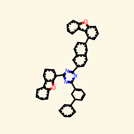 C1=CC(c2ccccc2)CC(c2nc(-c3ccc4cc(-c5cccc6oc7ccccc7c56)ccc4c3)nc(-c3cccc4c3oc3ccccc34)n2)=C1